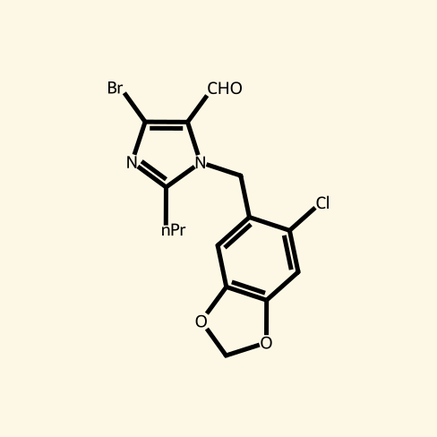 CCCc1nc(Br)c(C=O)n1Cc1cc2c(cc1Cl)OCO2